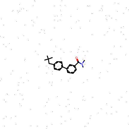 CN(C)C(=O)c1cccc(-c2ccc(CC(C)(C)C)cc2)c1